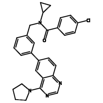 O=C(c1ccc(Cl)cc1)N(Cc1cccc(-c2ccc3ncnc(N4CCCC4)c3c2)c1)C1CC1